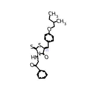 CCC(C)COc1ccc(/C=C2\SC(=S)N(NCC(=O)c3ccccc3)C2=O)cc1